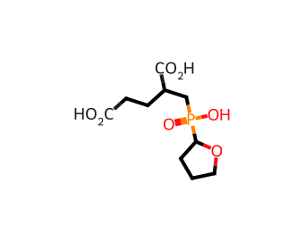 O=C(O)CCC(CP(=O)(O)C1CCCO1)C(=O)O